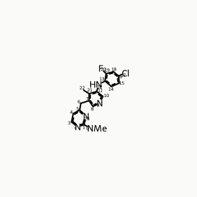 CNc1nccc(Cc2cncc(Nc3ccc(Cl)cc3F)c2C)n1